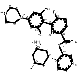 C[C@@H]1C[C@H](N)C[C@H](c2ccncc2NC(=O)c2ccc(F)c(-c3c(F)cc(N4CCOCC4)cc3F)n2)C1